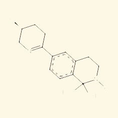 C[C@H]1CCC(c2ccc3c(c2)CCN(C)C3(C)C)=NC1